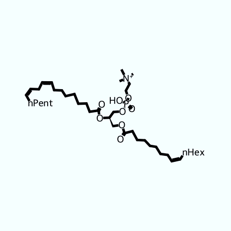 CCCCC/C=C\C/C=C\CCCCCCCC(=O)O[C@H](COC(=O)CCCCCCC/C=C\CCCCCC)COP(=O)(O)OCC[N+](C)(C)C